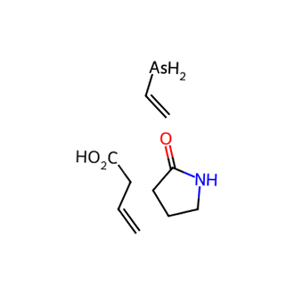 C=CCC(=O)O.C=C[AsH2].O=C1CCCN1